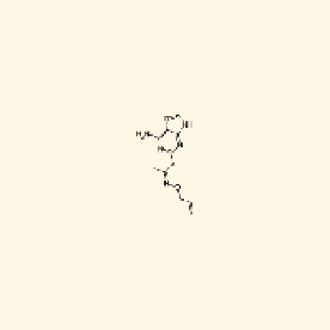 C=CCO/N=C(/C)Cc1nc(N)c2nc[nH]c2n1